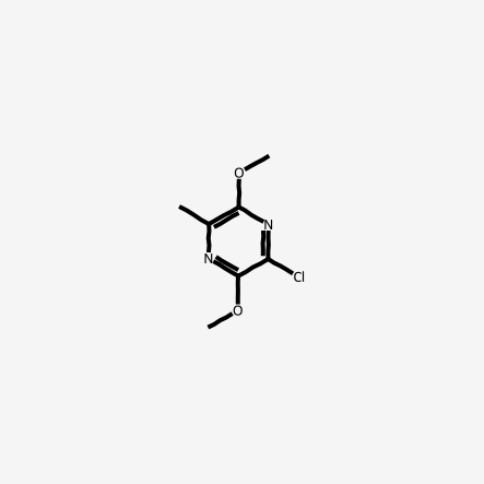 COc1nc(Cl)c(OC)nc1C